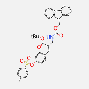 Cc1ccc(S(=O)(=O)Oc2ccc(CC(CNC(=O)OCC3c4ccccc4-c4ccccc43)C(=O)OC(C)(C)C)cc2)cc1